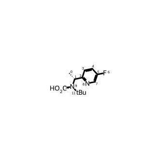 C[C@H](c1ccc(F)cn1)N(C(=O)O)C(C)(C)C